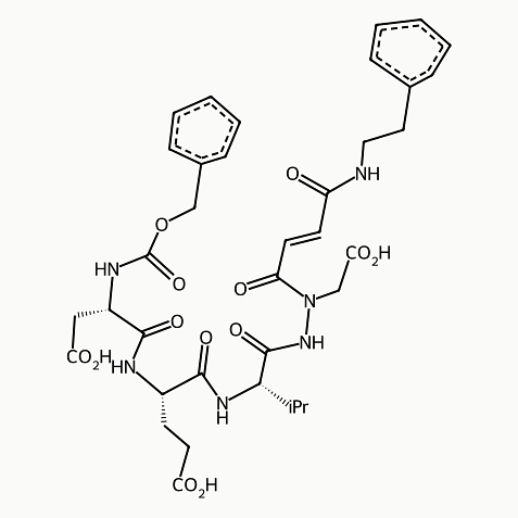 CC(C)[C@H](NC(=O)[C@H](CCC(=O)O)NC(=O)[C@H](CC(=O)O)NC(=O)OCc1ccccc1)C(=O)NN(CC(=O)O)C(=O)/C=C/C(=O)NCCc1ccccc1